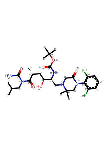 CC(C)CN(C(N)=O)C(=O)[C@H](C)C[C@H](O)[C@H](CN1CC(=O)N(c2c(F)cccc2F)CC1(C)C)NC(=O)OC(C)(C)C